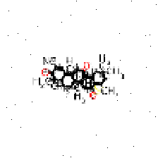 C[S+]([O-])[C@]12CCC(C)(C)C[C@H]1[C@H]1C(=O)C=C3[C@@]4(C)C=C(C#N)C(=O)C(C)(C)[C@@H]4CC[C@@]3(C)[C@]1(C)CC2